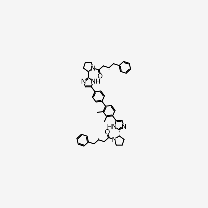 Cc1c(-c2ccc(-c3cnc(C4CCCN4C(=O)C[CH]Cc4ccccc4)[nH]3)cc2)ccc(-c2cnc([C@@H]3CCCN3C(=O)C[CH]Cc3ccccc3)[nH]2)c1C